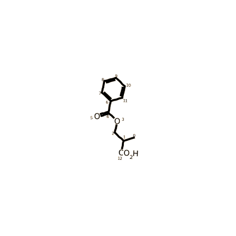 CC(COC(=O)c1ccccc1)C(=O)O